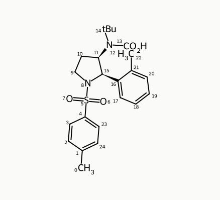 Cc1ccc(S(=O)(=O)N2CC[C@@H](N(C(=O)O)C(C)(C)C)[C@H]2c2ccccc2C)cc1